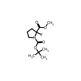 COC(=O)C1(F)CCCN1C(=O)OC(C)(C)C